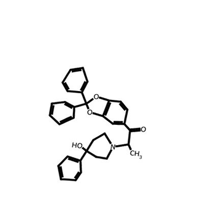 CC(C(=O)c1ccc2c(c1)OC(c1ccccc1)(c1ccccc1)O2)N1CCC(O)(c2ccccc2)CC1